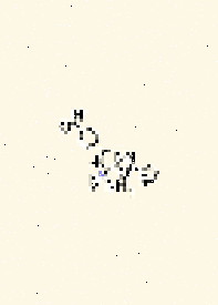 C=N/C(N)=C(/c1nnc(-c2cccs2)o1)N(C)C(C)c1ccc(C(=O)N(C)C)cc1